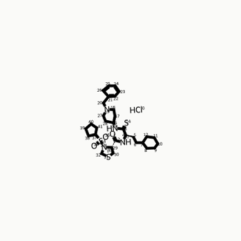 Cl.O=C(N[C@H](CCC1CCCCC1)C(=S)NC1CCN(Cc2ccccc2)CC1)[C@@H]1CSCN1S(=O)(=O)C1CCCC1